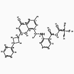 Cc1cc(C(C)Nc2ccccc2C(=O)OC(=O)C(F)(F)F)c2oc(N3CC(c4ccccn4)C3)cc(=O)c2c1